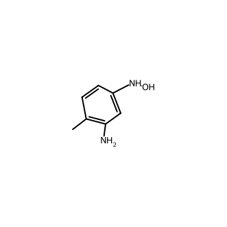 Cc1ccc(NO)cc1N